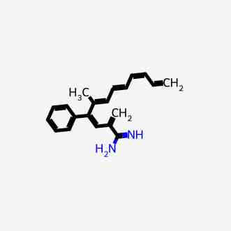 C=C\C=C/C=C/C=C(C)/C(=C\C(=C)C(=N)N)c1ccccc1